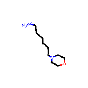 NCCCCCCN1CCOCC1